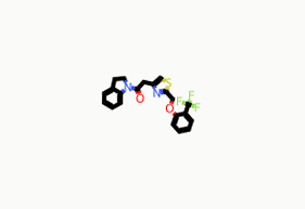 O=C(Cc1csc(COc2ccccc2C(F)(F)F)n1)N1CCc2ccccc21